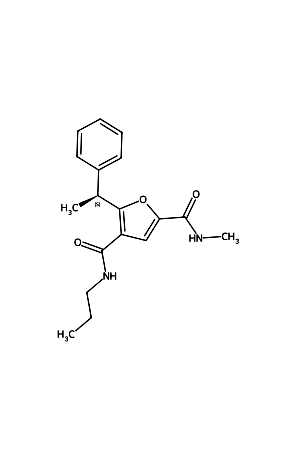 CCCNC(=O)c1cc(C(=O)NC)oc1[C@@H](C)c1ccccc1